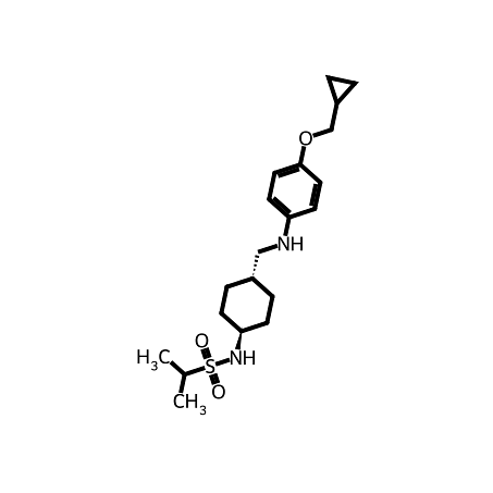 CC(C)S(=O)(=O)N[C@H]1CC[C@H](CNc2ccc(OCC3CC3)cc2)CC1